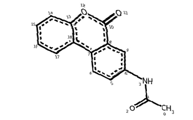 CC(=O)Nc1ccc2c(c1)c(=O)oc1ccccc12